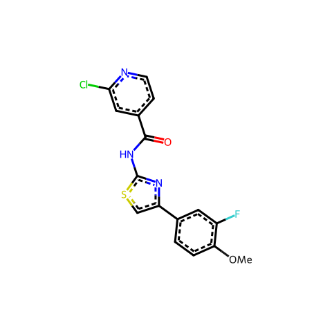 COc1ccc(-c2csc(NC(=O)c3ccnc(Cl)c3)n2)cc1F